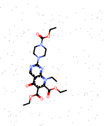 CCOC(=O)c1c(C(=O)OCC)n(CC)c2nc(N3CCN(C(=O)OCC)CC3)ncc2c1=O